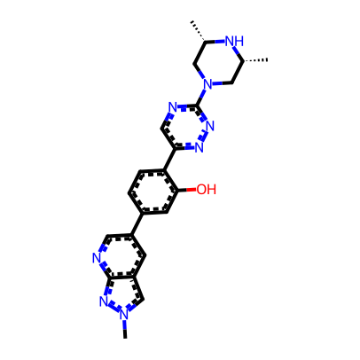 C[C@@H]1CN(c2ncc(-c3ccc(-c4cnc5nn(C)cc5c4)cc3O)nn2)C[C@H](C)N1